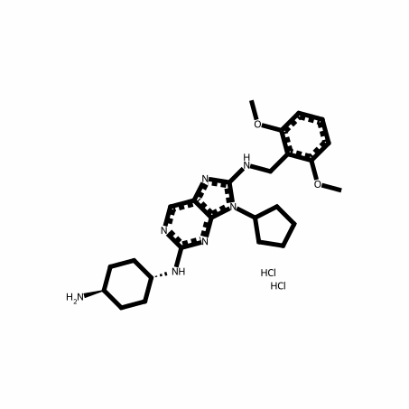 COc1cccc(OC)c1CNc1nc2cnc(N[C@H]3CC[C@H](N)CC3)nc2n1C1CCCC1.Cl.Cl